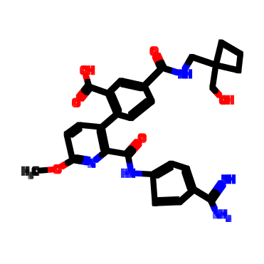 COc1ccc(-c2ccc(C(=O)NCC3(CO)CCC3)cc2C(=O)O)c(C(=O)Nc2ccc(C(=N)N)cc2)n1